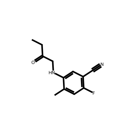 CCC(=O)CNc1cc(C#N)c(F)cc1C